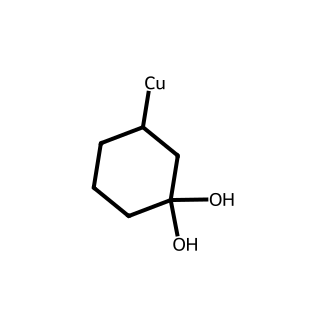 OC1(O)CCC[CH]([Cu])C1